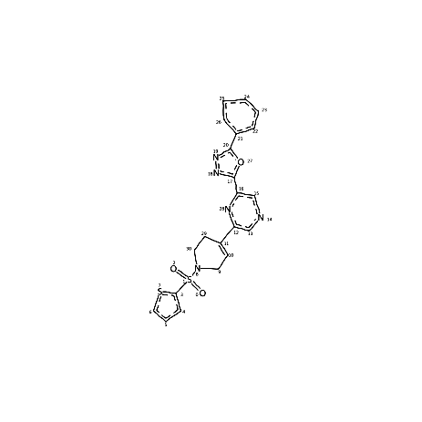 O=S(=O)(c1cccs1)N1CC=C(c2cncc(-c3nnc(-c4ccccc4)o3)n2)CC1